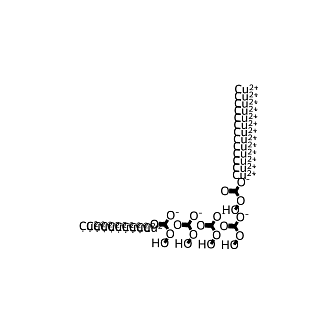 O=C([O-])OO.O=C([O-])OO.O=C([O-])OO.O=C([O-])OO.O=C([O-])OO.[Cu+2].[Cu+2].[Cu+2].[Cu+2].[Cu+2].[Cu+2].[Cu+2].[Cu+2].[Cu+2].[Cu+2].[Cu+2].[Cu+2].[Cu+2].[Cu+2].[Cu+2].[Cu+2].[Cu+2].[Cu+2].[Cu+2].[Cu+2].[Cu+2].[Cu+2].[Cu+2]